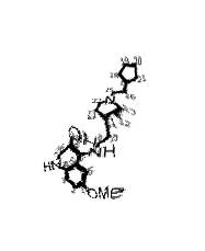 COc1ccc2c(c1)C(NCCC1CCN(CCC3CCCC3)CC1)=C(O)CN2